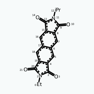 CCn1c(=O)c2cc3cc4c(=O)n(C(C)C)c(=O)c4cc3cc2c1=O